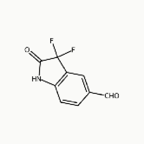 O=Cc1ccc2c(c1)C(F)(F)C(=O)N2